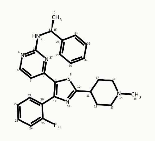 C[C@H](Nc1nccc(-c2sc(C3CCN(C)CC3)nc2-c2ccccc2F)n1)c1ccccc1